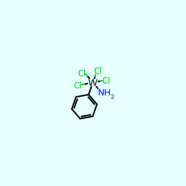 [NH2][W]([Cl])([Cl])([Cl])([Cl])[c]1ccccc1